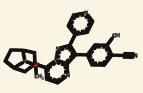 CCN1C2CCC1CC(c1ccnc3c(-c4ccc(C#N)c(O)c4)c(-c4ccncc4)nn13)C2